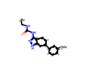 CCC(C)CNC(=O)Nc1n[nH]c2cc(-c3cccc(OC)c3)ccc12